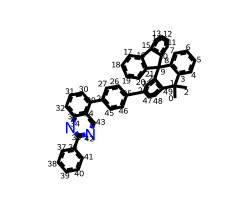 CC1(C)c2ccccc2C2(c3ccccc3-c3ccccc32)c2cc(-c3ccc(-c4cccc5nc(-c6ccccc6)ncc45)cc3)ccc21